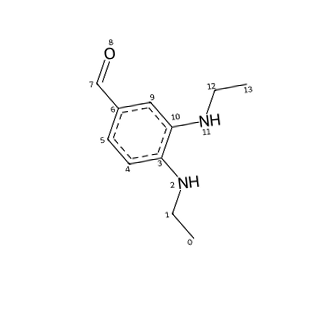 CCNc1ccc(C=O)cc1NCC